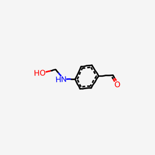 O=Cc1ccc(NCO)cc1